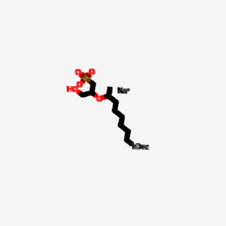 CCCCCCCCCCCCCCCCC(C)OC(CO)CS(=O)(=O)[O-].[Na+]